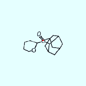 O=CC12CC3CC(C1)C(OC1CCCCO1)C(C3)C2